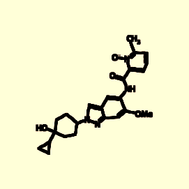 COc1cc2nn(C3CCC(O)(C4CC4)CC3)cc2cc1NC(=O)c1cccc(C)[n+]1[O-]